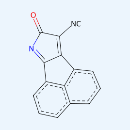 [C-]#[N+]C1=C2C(=NC1=O)c1cccc3cccc2c13